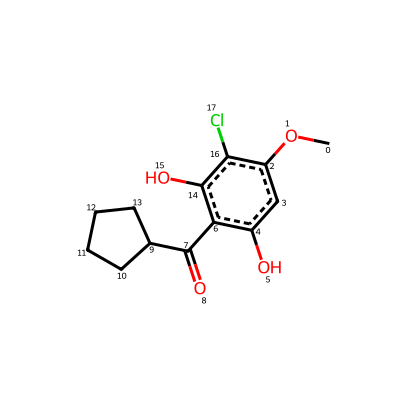 COc1cc(O)c(C(=O)C2CCCC2)c(O)c1Cl